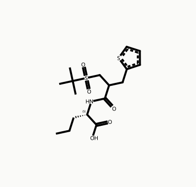 CCC[C@H](NC(=O)C(Cc1cccs1)CS(=O)(=O)C(C)(C)C)C(=O)O